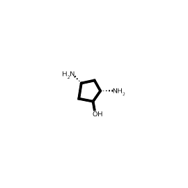 N[C@H]1CC(O)[C@@H](N)C1